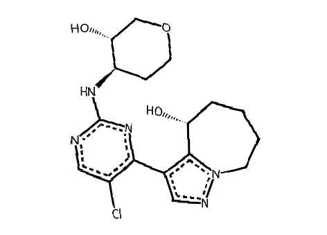 O[C@@H]1CCCCn2ncc(-c3nc(N[C@@H]4CCOC[C@H]4O)ncc3Cl)c21